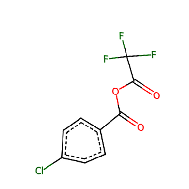 O=C(OC(=O)C(F)(F)F)c1ccc(Cl)cc1